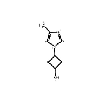 Cc1cn(C2CC(O)C2)cn1